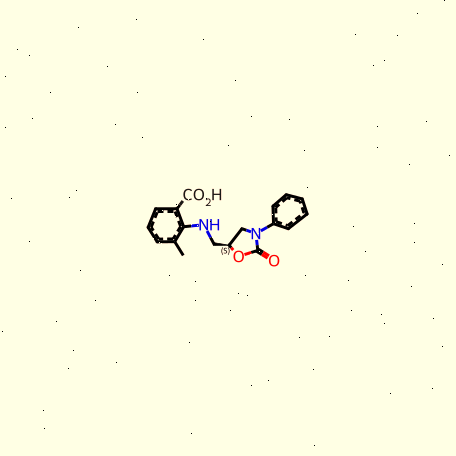 Cc1cccc(C(=O)O)c1NC[C@H]1CN(c2ccccc2)C(=O)O1